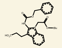 CC(C)(C)OC(=O)Cn1c(NC(=O)OCc2ccccc2)c(CCC(=O)O)c2ccccc21